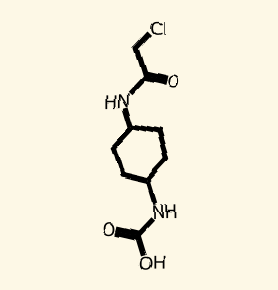 O=C(O)NC1CCC(NC(=O)CCl)CC1